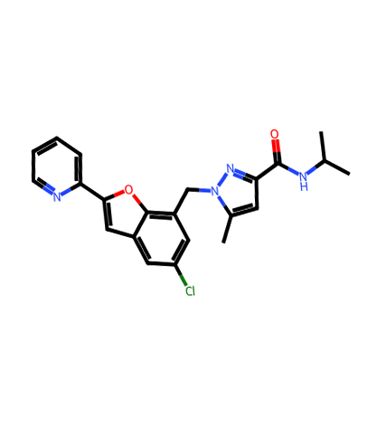 Cc1cc(C(=O)NC(C)C)nn1Cc1cc(Cl)cc2cc(-c3ccccn3)oc12